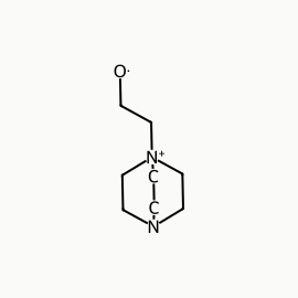 [O]CC[N+]12CCN(CC1)CC2